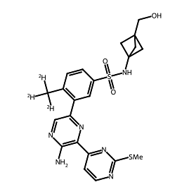 [2H]C([2H])([2H])c1ccc(S(=O)(=O)NC23CC(CO)(C2)C3)cc1-c1cnc(N)c(-c2ccnc(SC)n2)n1